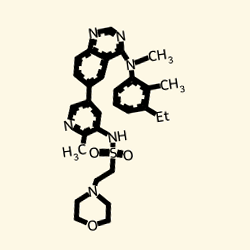 CCc1cccc(N(C)c2ncnc3ccc(-c4cnc(C)c(NS(=O)(=O)CCN5CCOCC5)c4)cc23)c1C